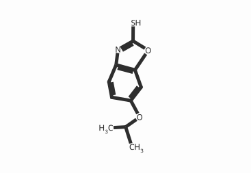 CC(C)Oc1ccc2nc(S)oc2c1